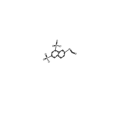 O=C=Nc1ccc2cc(S(=O)(=O)Cl)cc(S(=O)(=O)Cl)c2c1